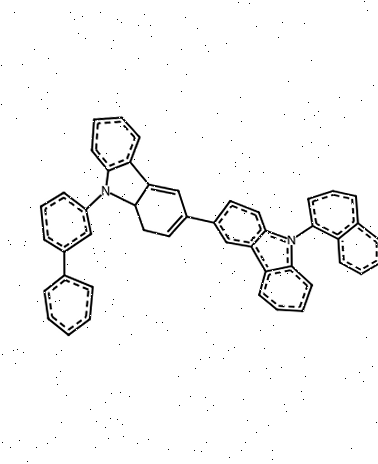 C1=C(c2ccc3c(c2)c2ccccc2n3-c2cccc3ccccc23)C=C2c3ccccc3N(c3cccc(-c4ccccc4)c3)C2C1